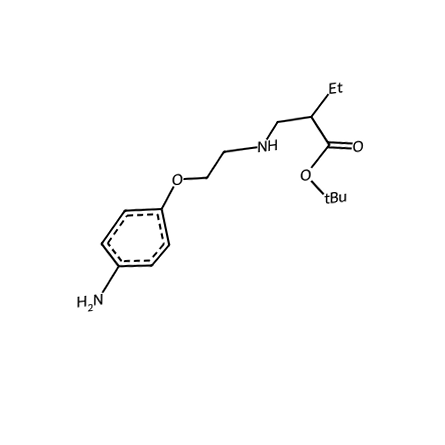 CCC(CNCCOc1ccc(N)cc1)C(=O)OC(C)(C)C